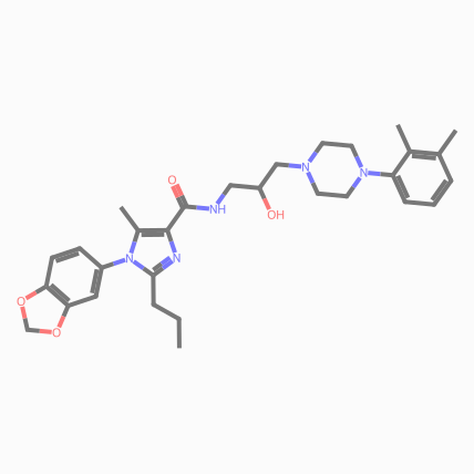 CCCc1nc(C(=O)NCC(O)CN2CCN(c3cccc(C)c3C)CC2)c(C)n1-c1ccc2c(c1)OCO2